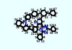 c1ccc(-c2ccc(-c3ccccc3)c(-c3cnc(-c4cccc5c4sc4c5ccc5c6ccccc6n(-c6ccccc6)c54)c(-c4nc(-c5ccccc5)nc(-c5ccccc5)n4)c3)c2)cc1